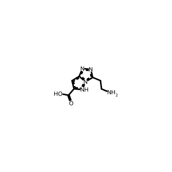 NCCc1nnc2cc(C(=O)O)[nH]n12